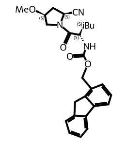 CC[C@H](C)[C@H](NC(=O)OCc1cccc2c1Cc1ccccc1-2)C(=O)N1C[C@@H](OC)C[C@H]1C#N